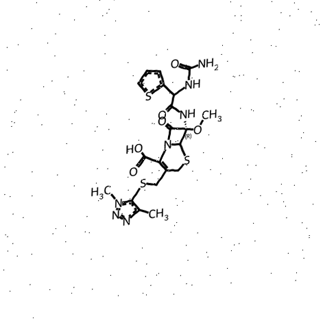 CO[C@]1(NC(=O)C(NC(N)=O)c2cccs2)C(=O)N2C(C(=O)O)=C(CSc3c(C)nnn3C)CSC21